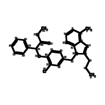 CCCc1nc2c(C)ccnc2n1Cc1ccc(OC(C(=O)OC)c2ccccc2)c(Cl)c1